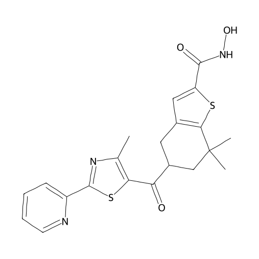 Cc1nc(-c2ccccn2)sc1C(=O)C1Cc2cc(C(=O)NO)sc2C(C)(C)C1